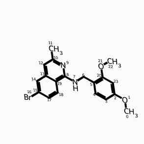 COc1ccc(CNc2nc(C)cc3cc(Br)ccc23)c(OC)c1